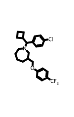 FC(F)(F)c1ccc(OCC2CCCCN(C(c3ccc(Cl)cc3)C3CCC3)C2)cc1